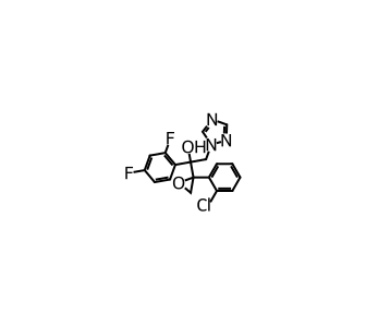 OC(Cn1cncn1)(c1ccc(F)cc1F)C1(c2ccccc2Cl)CO1